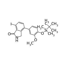 COc1cc(-c2ccc(I)c3c2CNC3=O)ccc1O[Si](C)(C)C(C)(C)C